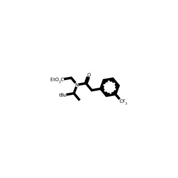 CCOC(=O)CN(C(=O)Cc1cccc(C(F)(F)F)c1)C(C)C(C)(C)C